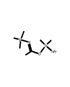 CCC[Si](C)(C)OC(C)=N[Si](C)(C)C